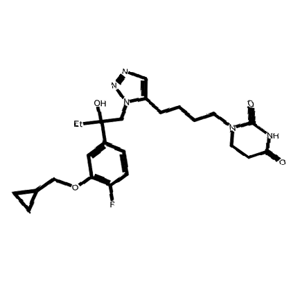 CCC(O)(Cn1nncc1CCCCN1CCC(=O)NC1=O)c1ccc(F)c(OCC2CC2)c1